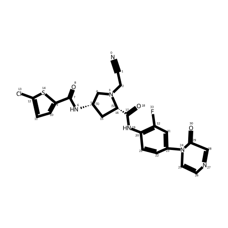 N#CCN1C[C@@H](NC(=O)c2ccc(Cl)s2)C[C@H]1C(=O)Nc1ccc(-n2ccncc2=O)cc1F